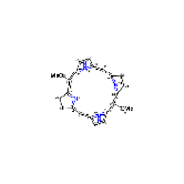 COc1c2nc(cc3ccc([nH]3)c(OC)c3nc(cc4ccc1[nH]4)CC3)CC2